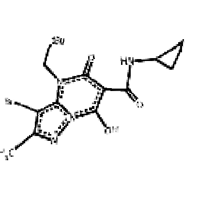 Cc1nn2c(O)c(C(=O)NC3CC3)c(=O)n(CC(C)(C)C)c2c1Br